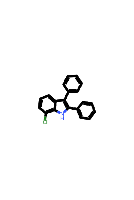 Clc1cccc2c(-c3ccccc3)c(-c3ccccc3)[nH]c12